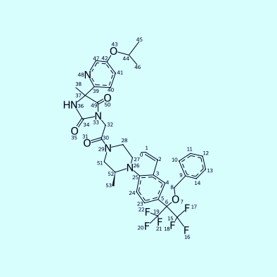 C/C=C\c1cc(C(OCc2ccccc2)(C(F)(F)F)C(F)(F)F)ccc1N1CCN(C(=O)CN2C(=O)NC(C)(c3ccc(OC(C)C)cn3)C2=O)C[C@@H]1C